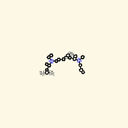 CC1(C)CCC(C)(C)c2cc(-c3ccc(-c4nc(-c5ccc6cc(-c7cccc(CC8(C)CCC(C)(C)c9cc(C%10=CC=C(c%11nc(C%12=CCC(C%13=CCC%14C=CC=CC%14=C%13)C=C%12)nc(-c%12ccccc%12)n%11)C%11=CC=CCC%11%10)ccc98)c7)ccc6c5)nc(-c5cccc6ccccc56)n4)c4ccccc34)ccc21